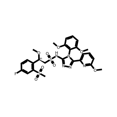 COc1cccc(-c2nnc(NS(=O)(=O)C[C@H](OC)c3ccc(F)cc3S(C)(=O)=O)n2-c2c(OC)cccc2OC)n1